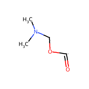 CN(C)CO[C]=O